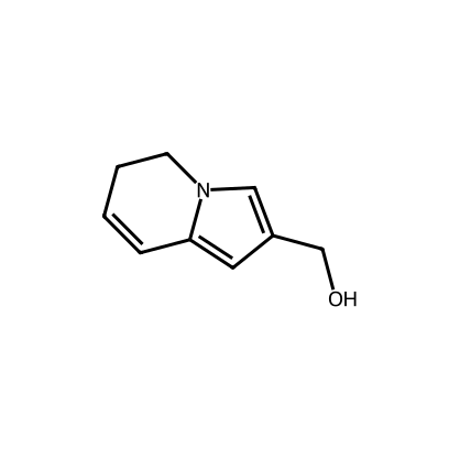 OCc1cc2n(c1)CCC=C2